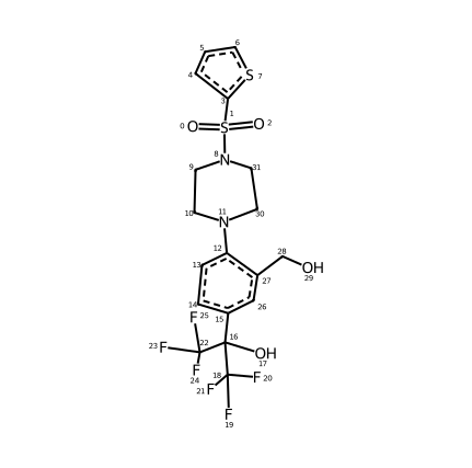 O=S(=O)(c1cccs1)N1CCN(c2ccc(C(O)(C(F)(F)F)C(F)(F)F)cc2CO)CC1